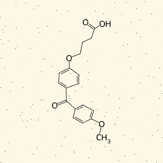 COc1ccc(C(=O)c2ccc(OCCCC(=O)O)cc2)cc1